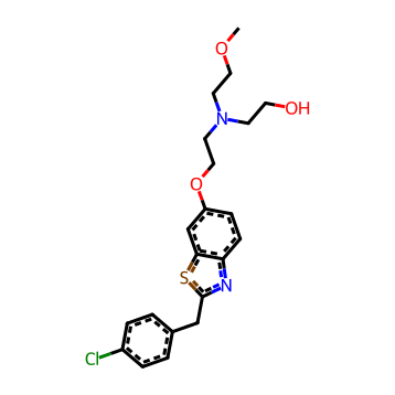 COCCN(CCO)CCOc1ccc2nc(Cc3ccc(Cl)cc3)sc2c1